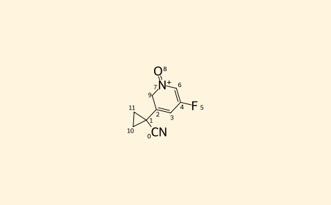 N#CC1(C2=CC(F)=C[N+](=O)C2)CC1